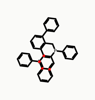 c1ccc(-c2cccc(CP(c3ccccc3)c3ccccc3)c2CP(c2ccccc2)c2ccccc2)cc1